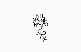 CN(CCn1c(=O)[nH]c2c(N)ncnc21)C(=O)OC(C)(C)C